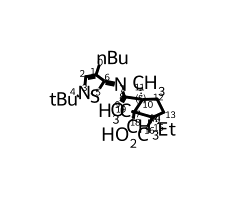 CCCCc1cn(C(C)(C)C)sc1=NC(=O)[C@@]1(C)CC[C@@](CC)(C(=O)O)C1(C)C